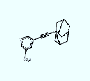 O=C(O)c1c[c]cc(C#CC23CC4CC(CC(C4)C2)C3)c1